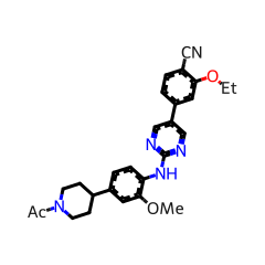 CCOc1cc(-c2cnc(Nc3ccc(C4CCN(C(C)=O)CC4)cc3OC)nc2)ccc1C#N